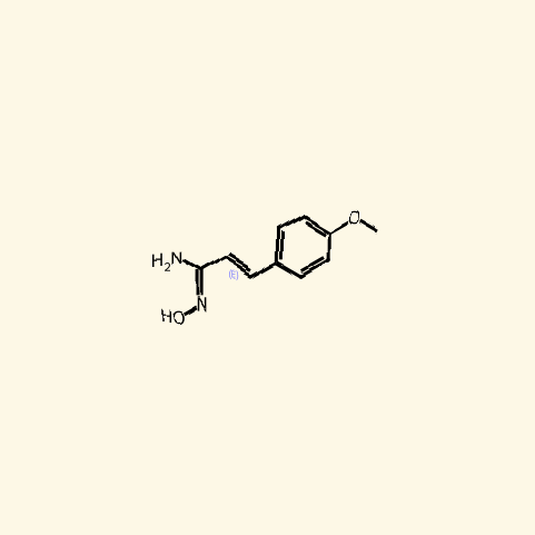 COc1ccc(/C=C/C(N)=NO)cc1